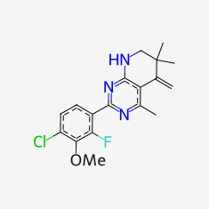 C=C1c2c(C)nc(-c3ccc(Cl)c(OC)c3F)nc2NCC1(C)C